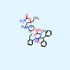 CCC(CC)(OC(N)=O)[C@@H]1CO[C@H](CCc2ccccc2NC(=O)[C@H](C(c2ccccc2)c2ccccc2)N(C)C(=O)O)CN1